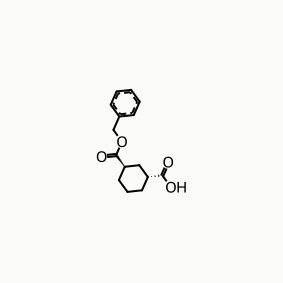 O=C(O)[C@@H]1CCC[C@@H](C(=O)OCc2ccccc2)C1